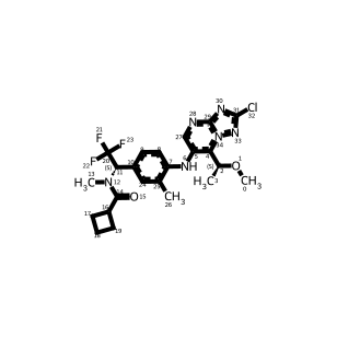 CO[C@@H](C)c1c(Nc2ccc([C@H](N(C)C(=O)C3CCC3)C(F)(F)F)cc2C)cnc2nc(Cl)nn12